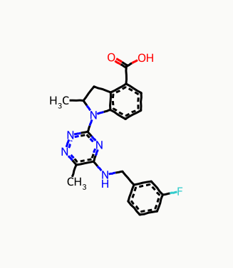 Cc1nnc(N2c3cccc(C(=O)O)c3CC2C)nc1NCc1cccc(F)c1